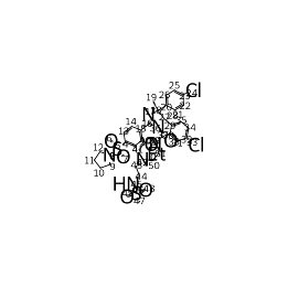 CCOc1cc(S(=O)(=O)N2CCCC2)ccc1C1=N[C@](C)(c2ccc(Cl)cc2)[C@@](C)(c2ccc(Cl)cc2)N1C(=O)N1CCN(CCNS(C)(=O)=O)CC1